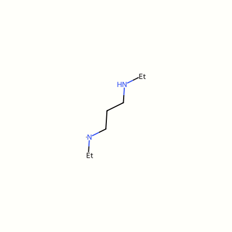 CC[N]CCCNCC